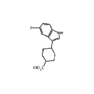 O=C(O)C1CCC(c2c[nH]c3ccc(F)cc23)CC1